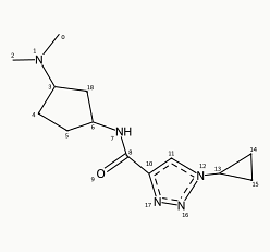 CN(C)C1CCC(NC(=O)c2cn(C3CC3)nn2)C1